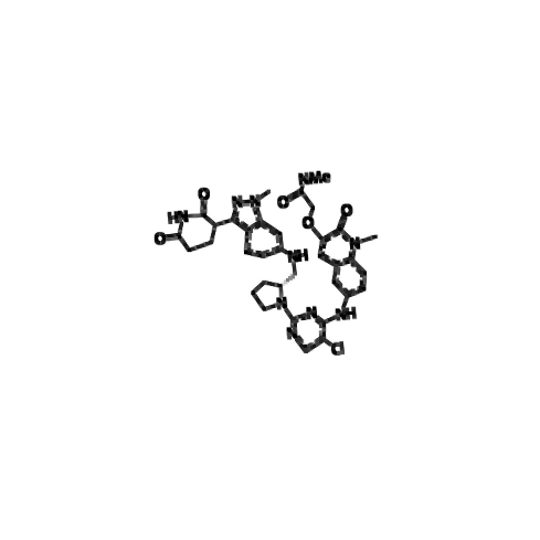 CNC(=O)COc1cc2cc(Nc3nc(N4CCC[C@@H]4CNc4ccc5c(C6CCC(=O)NC6=O)nn(C)c5c4)ncc3Cl)ccc2n(C)c1=O